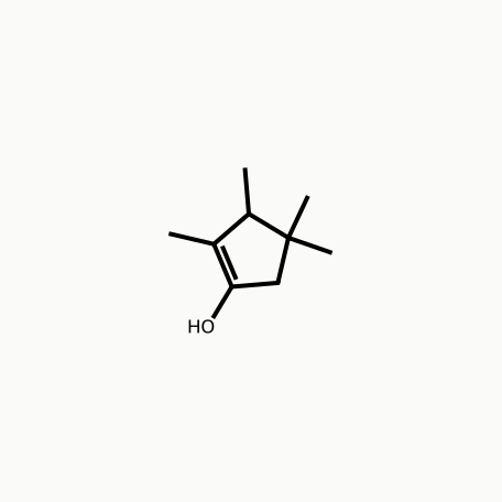 CC1=C(O)CC(C)(C)C1C